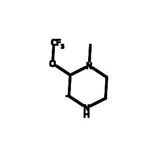 CN1CCN[CH]C1OC(F)(F)F